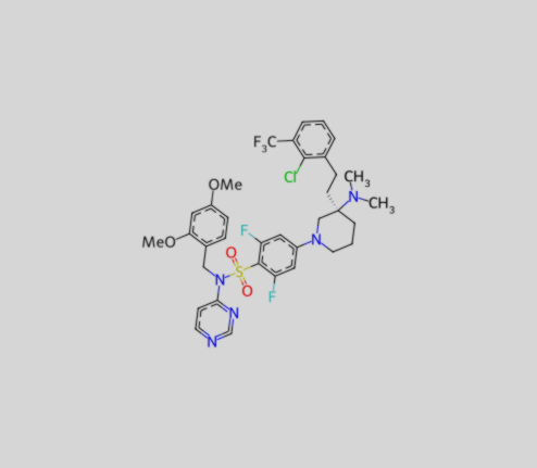 COc1ccc(CN(c2ccncn2)S(=O)(=O)c2c(F)cc(N3CCC[C@](CCc4cccc(C(F)(F)F)c4Cl)(N(C)C)C3)cc2F)c(OC)c1